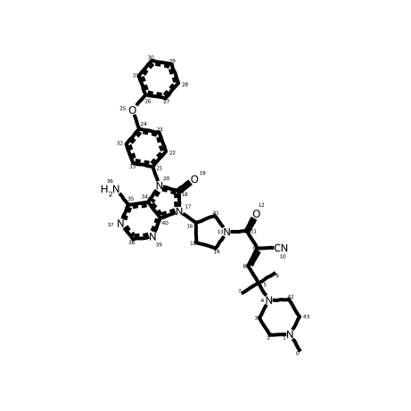 CN1CCN(C(C)(C)C=C(C#N)C(=O)N2CCC(n3c(=O)n(-c4ccc(Oc5ccccc5)cc4)c4c(N)ncnc43)C2)CC1